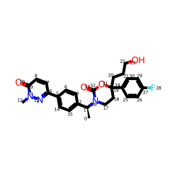 C[C@@H](c1ccc(-c2ccc(=O)n(C)n2)cc1)N1CCC(CCCO)(c2ccc(F)cc2)OC1=O